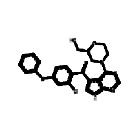 O=C(c1ccc(Oc2ccccc2)cc1Cl)c1c[nH]c2ncnc(N3CCOC(CO)C3)c12